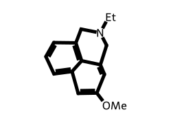 CCN1Cc2cccc3cc(OC)cc(c23)C1